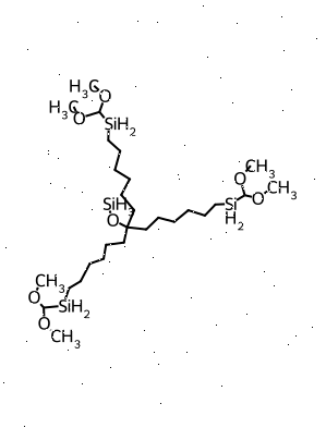 COC(OC)[SiH2]CCCCCCC(CCCCCC[SiH2]C(OC)OC)(CCCCCC[SiH2]C(OC)OC)O[SiH3]